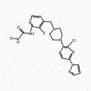 CCNC(=O)Nc1ncnc(CN2CCN(c3ccc(-n4cccn4)nc3Cl)CC2)c1F